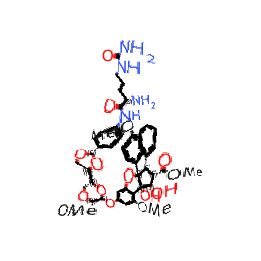 COC(=O)[C@H]1[C@@H](c2ccccc2)[C@@]2(c3ccc(OC)cc3)Oc3cc(O[C@@H]4O[C@@H]([C@H]5CO[C@H](c6ccc(NC(=O)[C@@H](N)CCCNC(N)=O)cc6)O5)CO[C@H]4OC)cc(OC)c3[C@]2(O)[C@H]1O